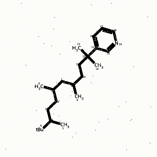 CC(CCC(C)C(C)(C)C)CC(C)CCC(C)(C)c1cccnc1